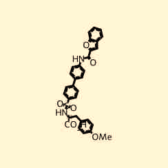 COc1ccc(C[C@H](NS(=O)(=O)c2ccc(-c3ccc(NC(=O)c4cc5ccccc5o4)cc3)cc2)C(=O)O)cc1